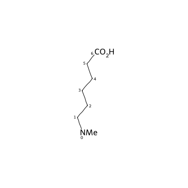 CNCCCCCC(=O)O